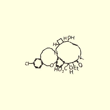 CC[C@@H]1C(=O)N(C)CC/C=C/[C@H](O)[C@@H]2CC[C@H]2CN2CCCCc3cc(Cl)ccc3COc3ccc(cc32)[C@]1(O)C(=O)O